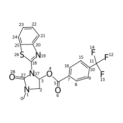 CN1CC(OC(=O)c2ccc(C(F)(F)F)cc2)N(c2nc3ccccc3s2)C1=O